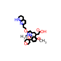 COc1ccc(C2(OC)CCOCC2)cc1C(CC(=O)O)Cc1cc(OCCc2ccc3c(n2)NCCC3)n(C)n1